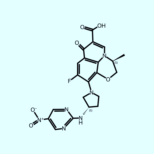 C[C@H]1COc2c(N3CC[C@H](Nc4ncc([N+](=O)[O-])cn4)C3)c(F)cc3c(=O)c(C(=O)O)cn1c23